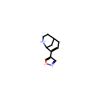 C1=C(c2cnoc2)C2CC(C1)CCN2